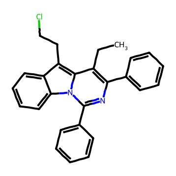 CCc1c(-c2ccccc2)nc(-c2ccccc2)n2c1c(CCCl)c1ccccc12